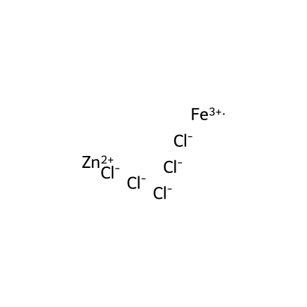 [Cl-].[Cl-].[Cl-].[Cl-].[Cl-].[Fe+3].[Zn+2]